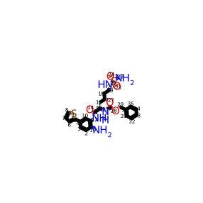 Nc1ccc(-c2cccs2)cc1NC(=O)[C@H](CCCCNS(N)(=O)=O)NC(=O)OCc1ccccc1